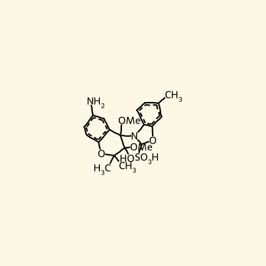 COC1(N2c3ccc(C)cc3OC2S(=O)(=O)O)c2cc(N)ccc2OC(C)(C)C1(O)OC